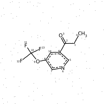 CCC(=O)c1cncc(OC(F)(F)F)c1